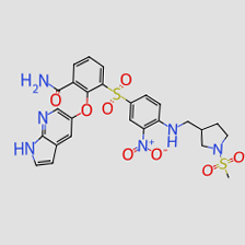 CS(=O)(=O)N1CCC(CNc2ccc(S(=O)(=O)c3cccc(C(N)=O)c3Oc3cnc4[nH]ccc4c3)cc2[N+](=O)[O-])C1